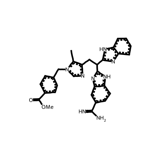 COC(=O)c1ccc(Cn2cnc(CC(c3nc4ccccc4[nH]3)c3nc4cc(C(=N)N)ccc4[nH]3)c2C)cc1